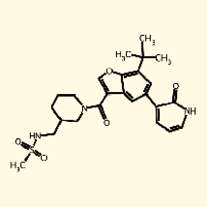 CC(C)(C)c1cc(-c2ccc[nH]c2=O)cc2c(C(=O)N3CCCC(CNS(C)(=O)=O)C3)coc12